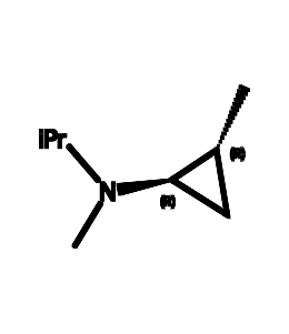 CC(C)N(C)[C@@H]1C[C@H]1C